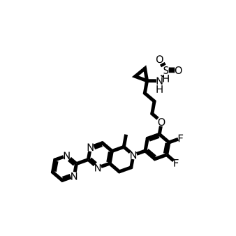 CC1c2cnc(-c3ncccn3)nc2CCN1c1cc(F)c(F)c(OCCCC2(N[SH](=O)=O)CC2)c1